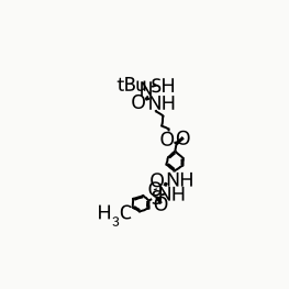 Cc1ccc(S(=O)(=O)NC(=O)Nc2ccc(C(=O)OCCCCNC(=O)N(S)C(C)(C)C)cc2)cc1